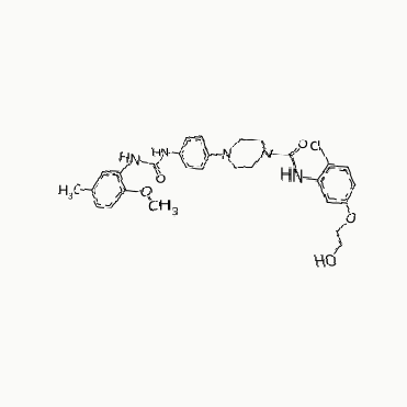 COc1ccc(C)cc1NC(=O)Nc1ccc(N2CCN(C(=O)Nc3cc(OCCO)ccc3Cl)CC2)cc1